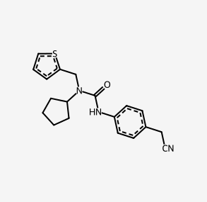 N#CCc1ccc(NC(=O)N(Cc2cccs2)C2CCCC2)cc1